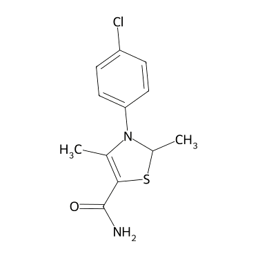 CC1=C(C(N)=O)SC(C)N1c1ccc(Cl)cc1